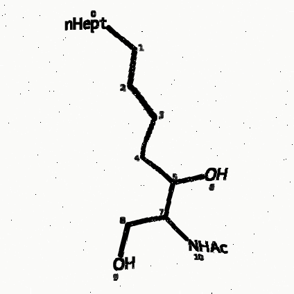 CCCCCCCCCCCC(O)C(CO)NC(C)=O